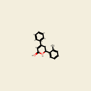 CCc1ccccc1C1CC(c2ccccc2)=CC(=O)O1